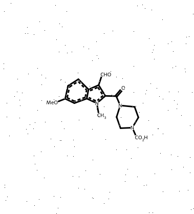 COc1ccc2c(C=O)c(C(=O)N3CCN(C(=O)O)CC3)n(C)c2c1